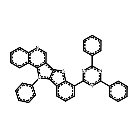 c1ccc(-c2nc(-c3ccccc3)nc(-c3cccc4c3sc3c5cnc6ccccc6c5n(-c5ccccc5)c43)n2)cc1